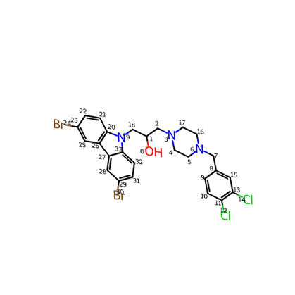 OC(CN1CCN(Cc2ccc(Cl)c(Cl)c2)CC1)Cn1c2ccc(Br)cc2c2cc(Br)ccc21